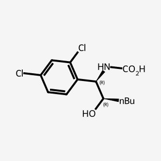 CCCC[C@@H](O)[C@H](NC(=O)O)c1ccc(Cl)cc1Cl